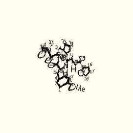 COc1ccc(C[C@H](NC(=O)[C@@H](C)NC(=O)[C@@H]2CCCO2)C(=O)N[C@@H](CC2CCCC2)C(=O)[C@]2(C)CO2)cc1